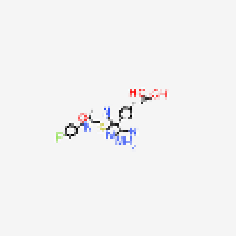 Cc1oc(-c2ccc(F)cc2)nc1CSc1nc(N)c(C#N)c(-c2ccc(CC[C@H](O)CO)cc2)c1C#N